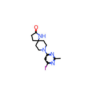 Cc1nc(I)cc(N2CCC3(CCC(=O)N3)CC2)n1